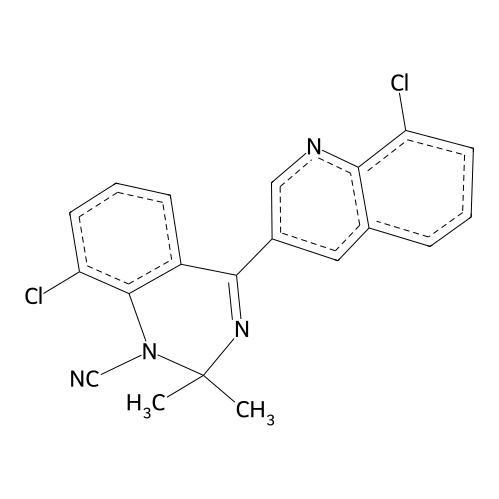 CC1(C)N=C(c2cnc3c(Cl)cccc3c2)c2cccc(Cl)c2N1C#N